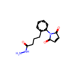 NNC(=O)CCCc1ccccc1N1C(=O)C=CC1=O